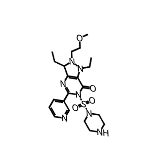 CCC1c2nc(-c3cccnc3)n(S(=O)(=O)N3CCNCC3)c(=O)c2N(CC)N1CCOC